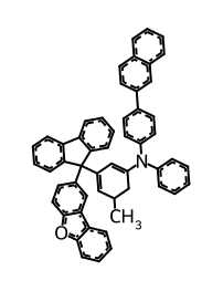 CC1C=C(C2(c3ccc4oc5ccccc5c4c3)c3ccccc3-c3ccccc32)C=C(N(c2ccccc2)c2ccc(-c3ccc4ccccc4c3)cc2)C1